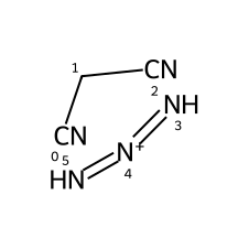 N#CCC#N.N=[N+]=N